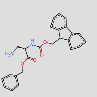 NC[C@@H](NC(=O)OCC1c2ccccc2-c2ccccc21)C(=O)OCc1ccccc1